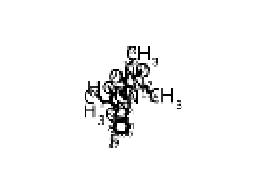 CCCc1c(O)n2c3c(=O)n(CCC)c(=O)n(CCC)c3nc2n(Cc2ccc(F)cc2)c1=O